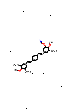 CCC(C)Oc1c(OC)cc(/C=C/c2ccc(/C=C/c3cc(OC)c(OC(C)CC)c(OC=N)c3)cc2)cc1OC